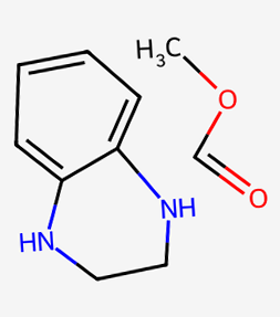 COC=O.c1ccc2c(c1)NCCN2